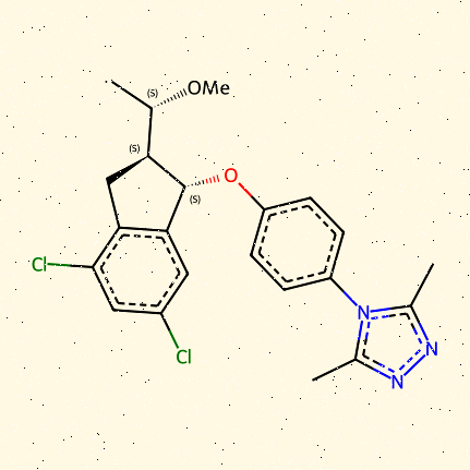 [CH2][C@H](OC)[C@@H]1Cc2c(Cl)cc(Cl)cc2[C@H]1Oc1ccc(-n2c(C)nnc2C)cc1